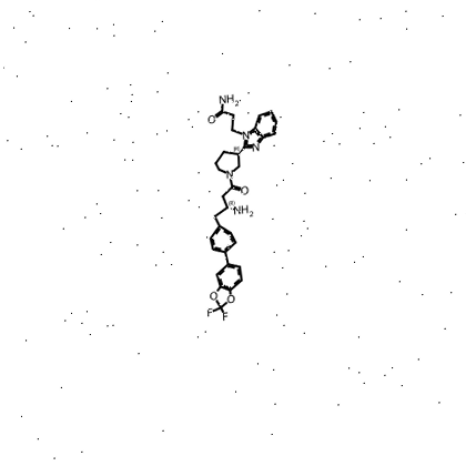 NC(=O)CCn1c([C@@H]2CCCN(C(=O)C[C@H](N)Cc3ccc(-c4ccc5c(c4)OC(F)(F)O5)cc3)C2)nc2ccccc21